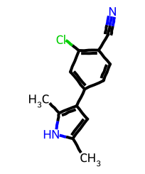 Cc1cc(-c2ccc(C#N)c(Cl)c2)c(C)[nH]1